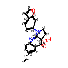 CCc1ccc2c(c1)C(=O)[C@]1(O)CCN(c3ccc4ccoc4c3)C1=N2